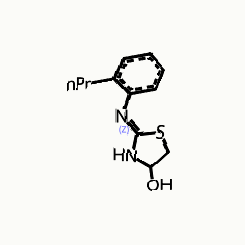 CCCc1ccccc1/N=C1/NC(O)CS1